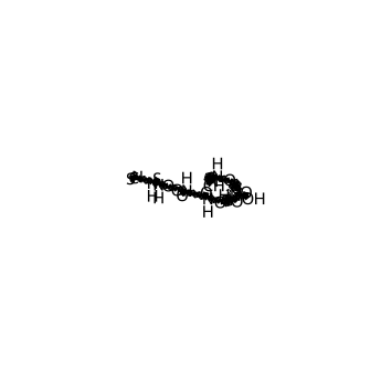 Cc1cccc(NCCCOc2ccc(C[C@@H](CC(=O)O)NC(=O)c3ccc(OCCCNC(=O)CCCCCNC(=O)COCCOCCNC(=S)NCCCCN=C=S)cc3)cc2)n1